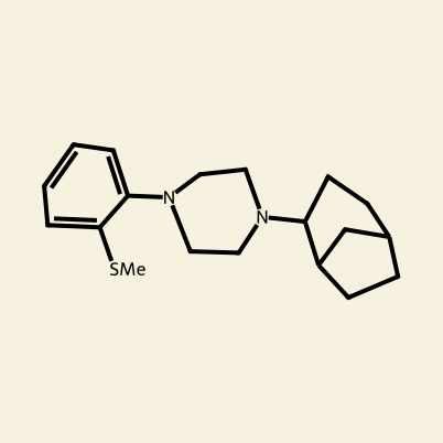 CSc1ccccc1N1CCN(C2CCC3CCC2C3)CC1